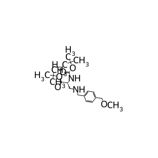 COCc1ccc(CNC[C@H](NC(=O)OC(C)(C)C)C(=O)OC(C)(C)C)cc1